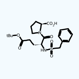 CC(C)(C)OC(=O)CC[C@@H](NS(=O)(=O)Cc1ccccc1)C(=O)N1CCC[C@H]1C(=O)O